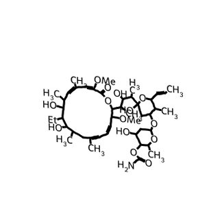 CC=CC1OC(O)(C(C)C(O)C(C)C2OC(=O)C(OC)=CC(C)=CC(C)C(O)C(CC)C(O)C(C)CC(C)=CC=CC2OC)CC(OC2CC(O)C(OC(N)=O)C(C)O2)C1C